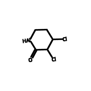 O=[C]1[AlH][CH2]CC(Cl)C1Cl